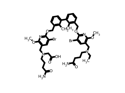 CCN(CCCC(N)=O)Cc1cc(Br)c(OCc2cccc(-c3cccc(COc4nc(OC)c(CN(CCCC(N)=O)CC(=O)O)cc4Br)c3C)c2C)nc1OC